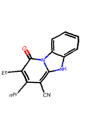 CCCc1c(CC)c(=O)n2c([nH]c3ccccc32)c1C#N